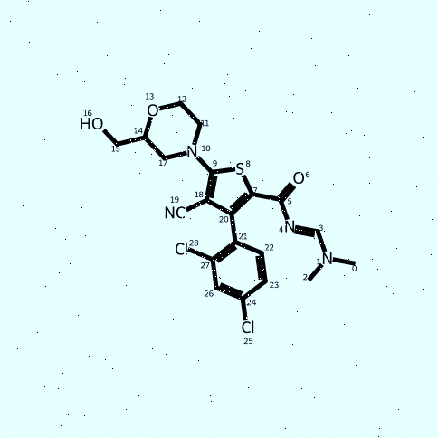 CN(C)C=NC(=O)c1sc(N2CCOC(CO)C2)c(C#N)c1-c1ccc(Cl)cc1Cl